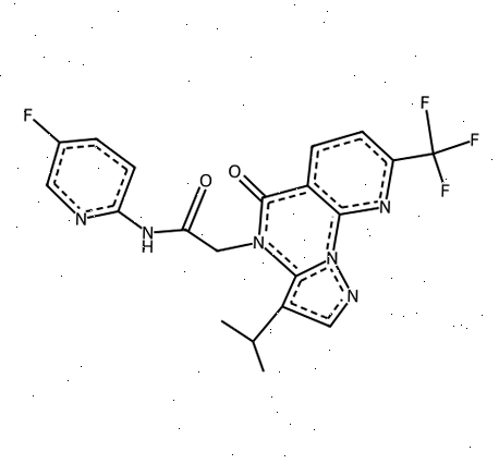 CC(C)c1cnn2c3nc(C(F)(F)F)ccc3c(=O)n(CC(=O)Nc3ccc(F)cn3)c12